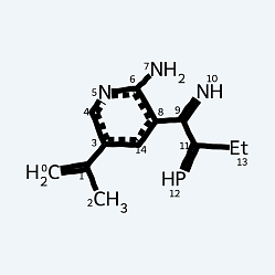 C=C(C)c1cnc(N)c(C(=N)C(=P)CC)c1